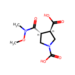 CON(C)C(=O)[C@H]1CN(C(=O)O)C[C@@H]1C(=O)O